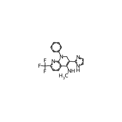 CNC1=C(c2ncc[nH]2)CN(c2ccccc2)c2nc(C(F)(F)F)ccc21